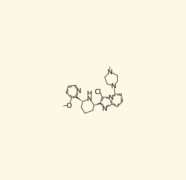 COc1cccnc1[C@@H]1CCC[C@H](c2nc3cccc(N4CCN(C)CC4)n3c2Cl)N1